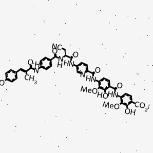 COc1c(NC(=O)c2ccc(NC(=O)c3ccc(NC(=O)[C@H](CC#N)NC(=O)c4ccc(NC(=O)/C(C)=C/c5ccc(O)cc5)cc4)cn3)c(OC)c2O)ccc(C(=O)O)c1O